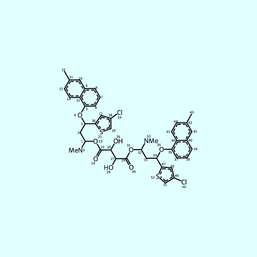 CNC(CC(Oc1cccc2cc(C)ccc12)c1cc(Cl)cs1)OC(=O)C(O)C(O)C(=O)OC(CC(Oc1cccc2cc(C)ccc12)c1cc(Cl)cs1)NC